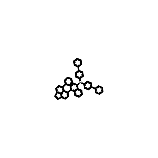 C1=Cc2ccc(-c3ccc(N(c4ccc(-c5ccccc5)cc4)c4ccc(-c5ccccc5)cc4)c4ccccc34)c3c(-c4ccccc4)ccc1c23